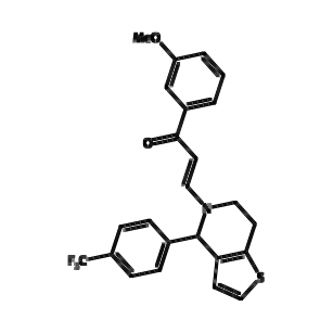 COc1cccc(C(=O)C=CN2CCc3sccc3C2c2ccc(C(F)(F)F)cc2)c1